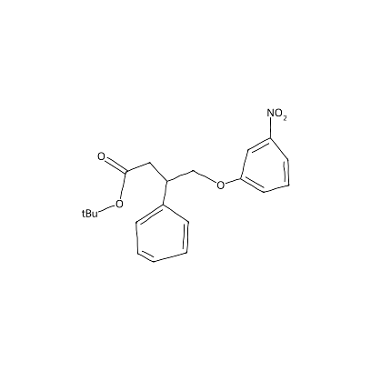 CC(C)(C)OC(=O)CC(COc1cccc([N+](=O)[O-])c1)c1ccccc1